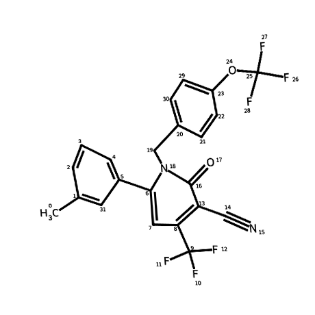 Cc1cccc(-c2cc(C(F)(F)F)c(C#N)c(=O)n2Cc2ccc(OC(F)(F)F)cc2)c1